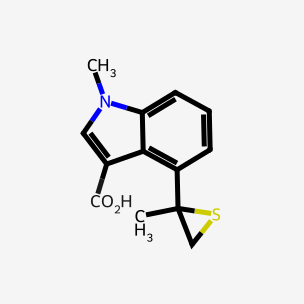 Cn1cc(C(=O)O)c2c(C3(C)CS3)cccc21